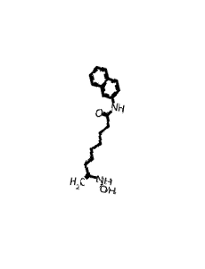 C=C(CCCCCCC(=O)Nc1ccc2ccccc2c1)NO